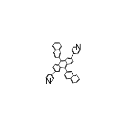 c1ccc2cc(-c3c4ccc(-c5ccncc5)cc4c(-c4ccc5ccccc5c4)c4ccc(-c5ccncc5)cc34)ccc2c1